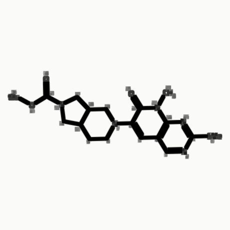 CSc1ncc2cc(N3CCC4CN(C(=O)OC(C)(C)C)CC4C3)c(=O)n(C)c2n1